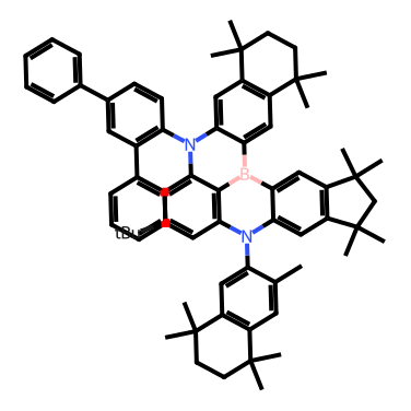 Cc1cc2c(cc1N1c3cc4c(cc3B3c5cc6c(cc5N(c5ccc(-c7ccccc7)cc5-c5ccccc5)c5cc(C(C)(C)C)cc1c53)C(C)(C)CCC6(C)C)C(C)(C)CC4(C)C)C(C)(C)CCC2(C)C